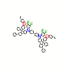 C=Cc1ccc(Oc2ccc(C3(c4ccccc4)c4cc(-c5ccccc5)ccc4-c4ccc(N(c5ccc(-c6ccc(N(c7ccc(F)c(F)c7)c7ccc8c(c7)C(c7ccccc7)(c7ccc(Oc9ccc(C=C)cc9)cc7)c7cc(-c9ccccc9)ccc7-8)cc6)cc5)c5ccc(F)c(F)c5)cc43)cc2)cc1